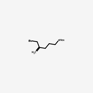 C=C(CCCCCCCCC)CC(C)CC